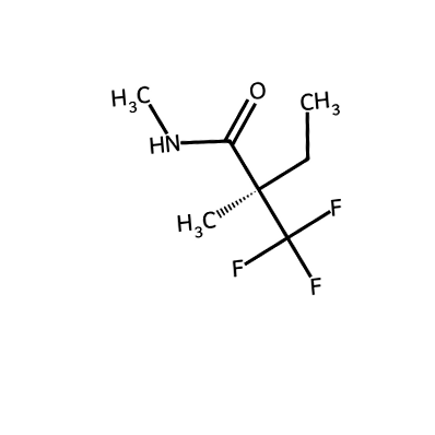 CC[C@](C)(C(=O)NC)C(F)(F)F